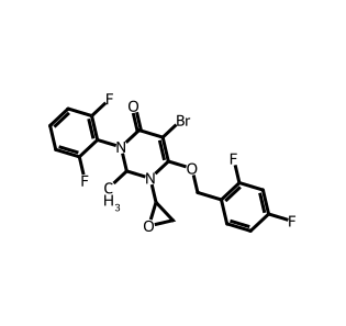 CC1N(c2c(F)cccc2F)C(=O)C(Br)=C(OCc2ccc(F)cc2F)N1C1CO1